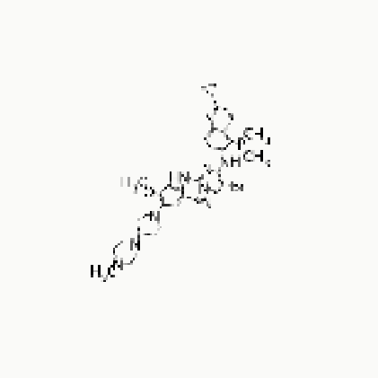 COc1cc(Nc2ncc(Br)c(Nc3ccc4nc(C5CC5)ccc4c3P(C)C)n2)c(C#N)cc1N1CCC(N2CCN(C)CC2)CC1